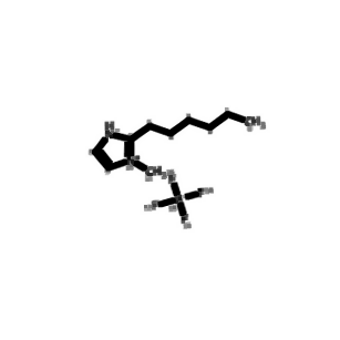 CCCCCCc1[nH]cc[n+]1C.F[B-](F)(F)F